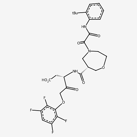 CC(C)(C)c1ccccc1NC(=O)C(=O)N1CCOC[C@H](C(=O)N[C@@H](CC(=O)O)C(=O)COc2c(F)c(F)cc(F)c2F)C1